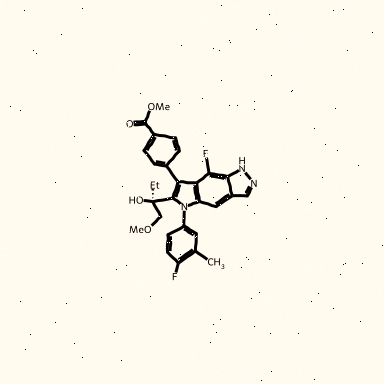 CC[C@@](O)(COC)c1c(-c2ccc(C(=O)OC)cc2)c2c(F)c3[nH]ncc3cc2n1-c1ccc(F)c(C)c1